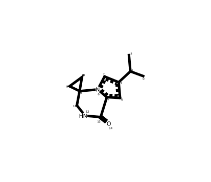 CC(C)c1cc2n(c1)C1(CC1)CNC2=O